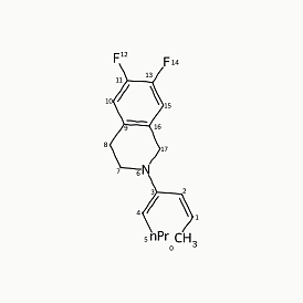 C/C=C\C(=C/CCC)N1CCc2cc(F)c(F)cc2C1